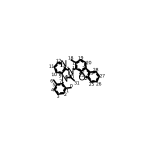 Cc1cccc(C)c1N1c2cccnc2N(c2c(C)ccc3c2oc2ccccc23)C1C